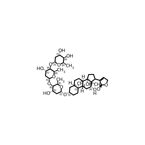 C[C@H]1O[C@@H](O[C@@H]2[C@@H](O)C[C@H](O[C@@H]3[C@@H](O)C[C@@H](O[C@H]4CC[C@@]5(C)[C@H](CC[C@@H]6[C@@H]5C[C@@H](O)[C@]5(C)C(C7=CCOC7=O)CC[C@]65O)C4)O[C@@H]3C)O[C@@H]2C)C[C@H](O)[C@H]1O